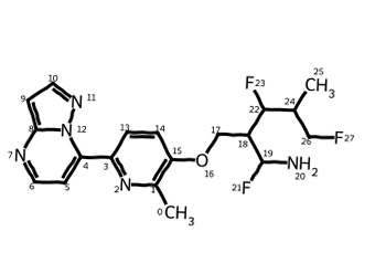 Cc1nc(-c2ccnc3ccnn23)ccc1OCC(C(N)F)C(F)C(C)CF